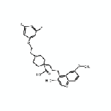 COc1ccc2ncc(C)c(CCCC3(C(=O)O)CCN(CCOc4cc(F)cc(F)c4)CC3)c2c1